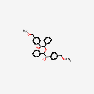 COCc1ccc(B(O)C(OC(B(O)c2ccc(COC)cc2)c2ccccc2)c2ccccc2)cc1